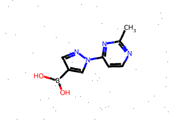 Cc1nccc(-n2cc(B(O)O)cn2)n1